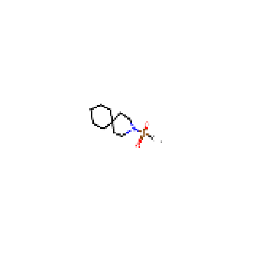 CS(=O)(=O)N1CCC2(CCCCC2)CC1